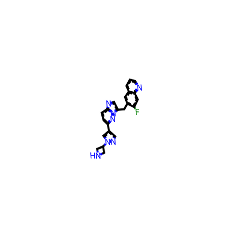 Fc1cc2ncccc2cc1Cc1cnc2ccc(-c3cnn(C4CNC4)c3)nn12